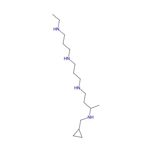 CCNCCCNCCCNCCC(C)NCC1CC1